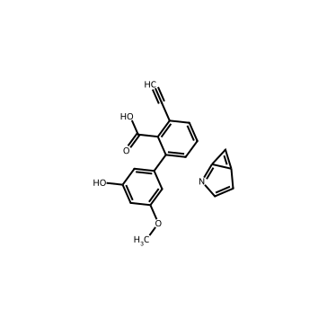 C#Cc1cccc(-c2cc(O)cc(OC)c2)c1C(=O)O.c1cc2cc-2n1